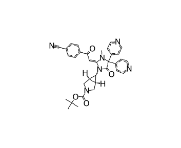 CN1C(=CC(=O)c2ccc(C#N)cc2)N([C@H]2[C@@H]3CN(C(=O)OC(C)(C)C)C[C@@H]32)C(=O)C1(c1ccncc1)c1ccncc1